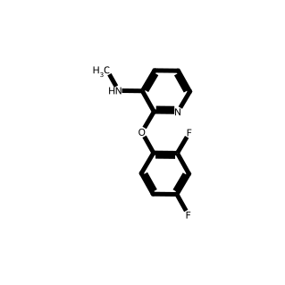 CNc1cccnc1Oc1ccc(F)cc1F